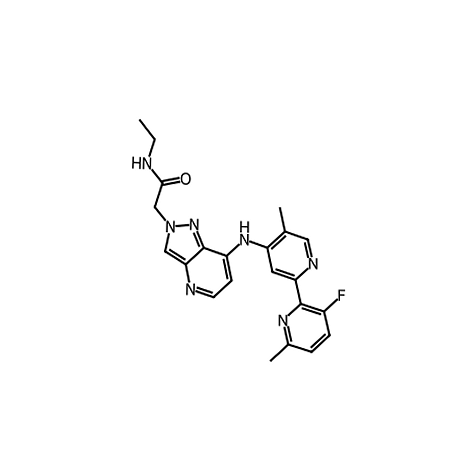 CCNC(=O)Cn1cc2nccc(Nc3cc(-c4nc(C)ccc4F)ncc3C)c2n1